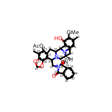 COc1c(C)cc2c(c1O)C1C3Cc4c(OC(C)=O)c(C)c5c(c4C(CN4C(=O)c6ccccc6C4=O)N3[C@@H](C#N)[C@@H](C2)N1C)OCO5